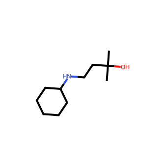 CC(C)(O)CCNC1CCCCC1